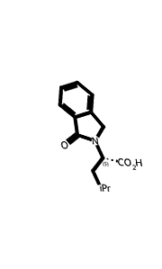 CC(C)C[C@@H](C(=O)O)N1Cc2ccccc2C1=O